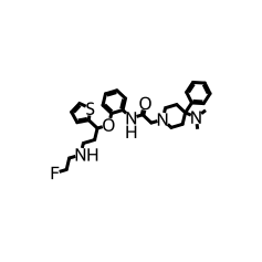 CN(C)C1(c2ccccc2)CCN(CC(=O)Nc2ccccc2OC(CCNCCF)c2cccs2)CC1